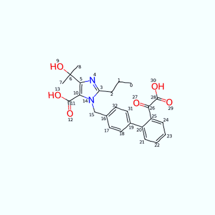 CCCc1nc(C(C)(C)O)c(C(=O)O)n1Cc1ccc(-c2ccccc2C(=O)C(=O)O)cc1